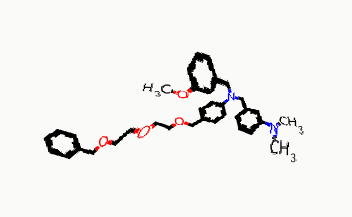 COc1cccc(CN(Cc2cccc(N(C)C)c2)c2ccc(COCCOCCOCc3ccccc3)cc2)c1